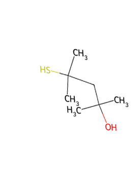 CC(C)(O)CC(C)(C)S